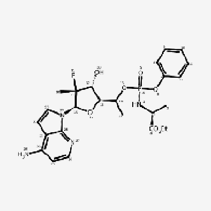 CCOC(=O)[C@H](C)NP(=O)(Oc1ccccc1)OC(C)[C@H]1O[C@@H](n2ccc3c(N)ccnc32)[C@](C)(F)[C@@H]1O